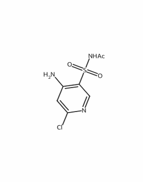 CC(=O)NS(=O)(=O)c1cnc(Cl)cc1N